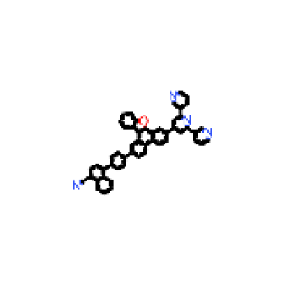 N#Cc1ccc(-c2ccc(-c3ccc4c5ccc(-c6cc(-c7cccnc7)nc(-c7cccnc7)c6)cc5c5oc6ccccc6c5c4c3)cc2)c2ccccc12